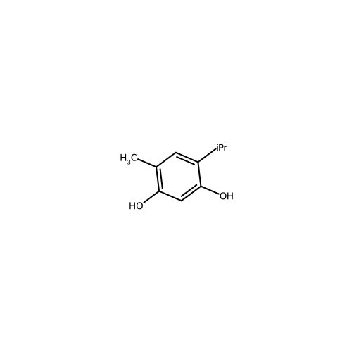 Cc1cc(C(C)C)c(O)cc1O